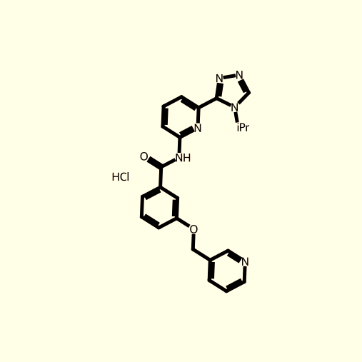 CC(C)n1cnnc1-c1cccc(NC(=O)c2cccc(OCc3cccnc3)c2)n1.Cl